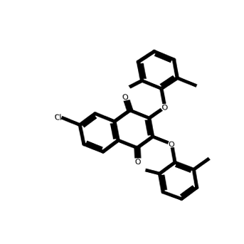 Cc1cccc(C)c1OC1=C(Oc2c(C)cccc2C)C(=O)c2cc(Cl)ccc2C1=O